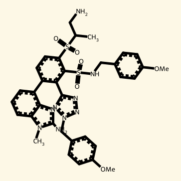 COc1ccc(CNS(=O)(=O)c2c(S(=O)(=O)C(C)CN)ccc(-c3cccc4c3nc(N)n4C)c2-c2nnn(Cc3ccc(OC)cc3)n2)cc1